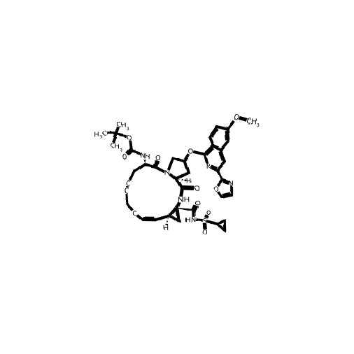 COc1ccc2c(OC3C[C@H]4C(=O)N[C@]5(C(=O)NS(=O)(=O)C6CC6)C[C@H]5/C=C\CCCCC[C@H](NC(=O)OC(C)(C)C)C(=O)N4C3)nc(-c3ncco3)cc2c1